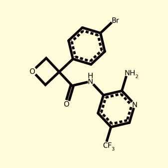 Nc1ncc(C(F)(F)F)cc1NC(=O)C1(c2ccc(Br)cc2)COC1